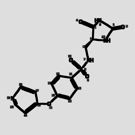 O=C1NC(=O)[C@H](CNS(=O)(=O)c2ccc(Oc3ccncc3)cc2)N1